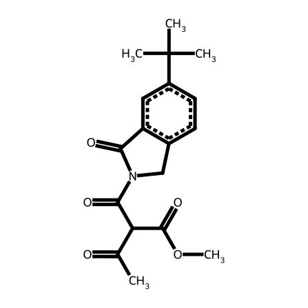 COC(=O)C(C(C)=O)C(=O)N1Cc2ccc(C(C)(C)C)cc2C1=O